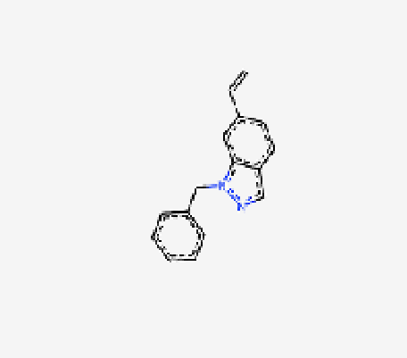 C=Cc1ccc2cnn(Cc3ccccc3)c2c1